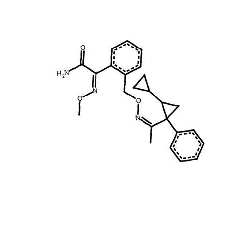 CON=C(C(N)=O)c1ccccc1CON=C(C)C1(c2ccccc2)CC1C1CC1